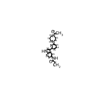 C=CC(=O)Nc1cnc2[nH]cc(-c3cccc(N4CCCN(C(C)=O)CC4)n3)c2c1